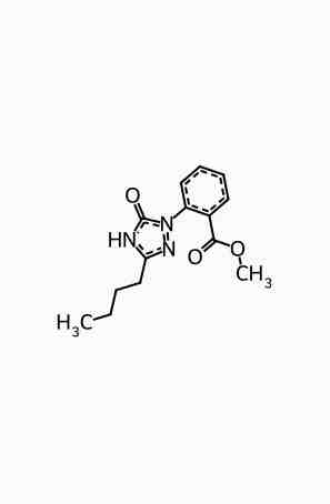 CCCCc1nn(-c2ccccc2C(=O)OC)c(=O)[nH]1